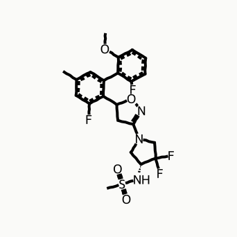 COc1cccc(F)c1-c1cc(C)cc(F)c1C1CC(N2C[C@@H](NS(C)(=O)=O)C(F)(F)C2)=NO1